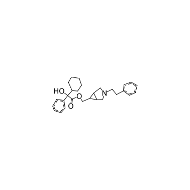 O=C(OCC1C2CN(CCc3ccccc3)CC12)C(O)(c1ccccc1)C1CCCCC1